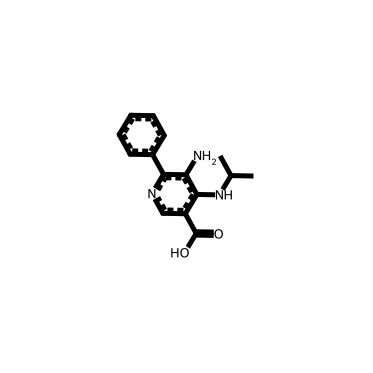 CC(C)Nc1c(C(=O)O)cnc(-c2ccccc2)c1N